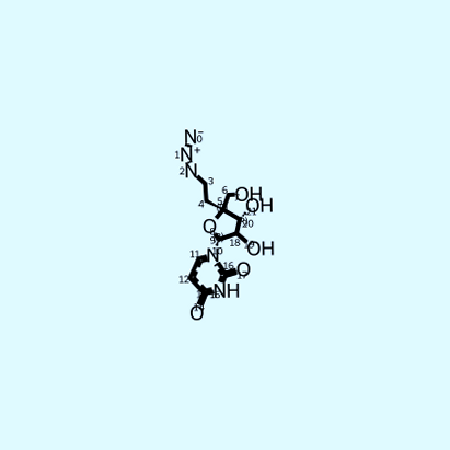 [N-]=[N+]=NCC[C@]1(CO)O[C@@H](n2ccc(=O)[nH]c2=O)C(O)[C@H]1O